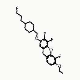 CCOc1ccc2c(c1F)Oc1c(cc(OCC3CCC(CCCF)CC3)c(F)c1F)C2